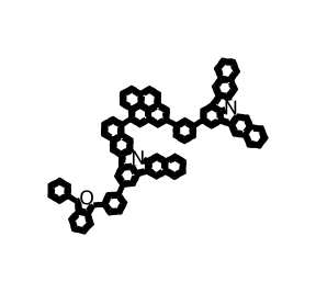 c1ccc(-c2oc(-c3cccc(-c4cc5c6cc7ccccc7cc6n6c7cc8c(-c9cc%10cc(-c%11cccc(-c%12cc%13c%14cc%15ccccc%15cc%14n%14c%15cc%16ccccc%16cc%15c(c%12)c%13%14)c%11)cc%11ccc%12cccc9c%12c%11%10)cccc8cc7c(c4)c56)c3)c3ccccc23)cc1